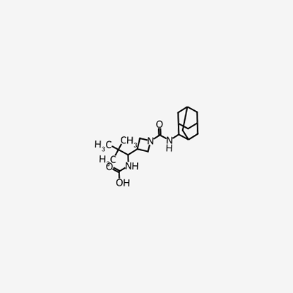 CC(C)(C)C(NC(=O)O)C1CN(C(=O)NC2C3CC4CC(C3)CC2C4)C1